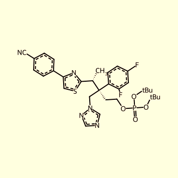 C[C@@H](c1nc(-c2ccc(C#N)cc2)cs1)[C@](CCOP(=O)(OC(C)(C)C)OC(C)(C)C)(Cn1cncn1)c1ccc(F)cc1F